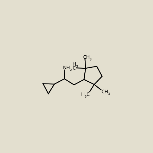 CC1(C)CCC(C)(C)C1CC(N)C1CC1